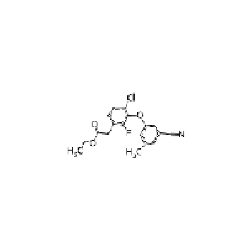 CCOC(=O)Cc1ccc(Cl)c(Oc2cc(C)cc(C#N)c2)c1F